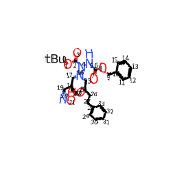 CC(C)(C)OC(=O)N(NC(=O)OCc1ccccc1)N(Cc1cnoc1)C[C@@H](O)CCc1ccccc1